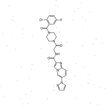 O=C(NCC(=O)N1CCN(C(=O)c2cc(F)ccc2Cl)CC1)c1cn2cc(-n3cccn3)ccc2n1